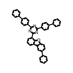 c1ccc(-c2ccc(-c3nc(-c4ccc(-c5ccccc5)cc4)nc(-c4cccc5c4oc4ccc(-c6ccccc6)cc45)n3)cc2)cc1